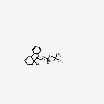 CC(C)(C)OC(=O)NNC(=O)C1(N)CCCCC1c1ccccc1